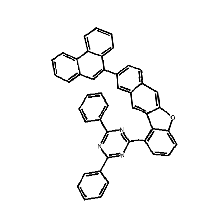 c1ccc(-c2nc(-c3ccccc3)nc(-c3cccc4oc5cc6ccc(-c7cc8ccccc8c8ccccc78)cc6cc5c34)n2)cc1